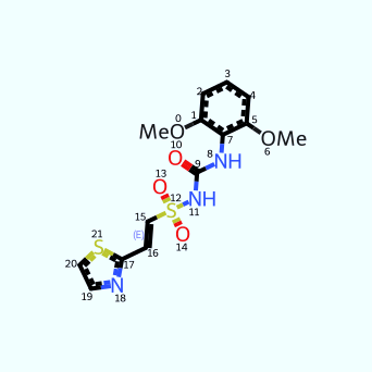 COc1cccc(OC)c1NC(=O)NS(=O)(=O)/C=C/c1nccs1